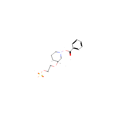 C[C@@]1(OCCOS(=O)(=O)O)CCCN(OC(=O)c2ccccc2)C1